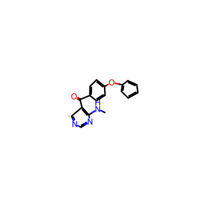 CNc1ncn[c]c1C(=O)c1ccc(Oc2ccccc2)cc1